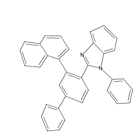 c1ccc(-c2ccc(-c3nc4ccccc4n3-c3ccccc3)c(-c3cccc4ccccc34)c2)cc1